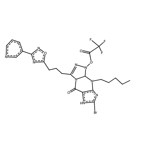 CCCCCN1c2nc(Br)[nH]c2C(=O)N2C(CCCc3nc(-c4cccnc4)no3)=NN(OC(=O)C(F)(F)F)C21